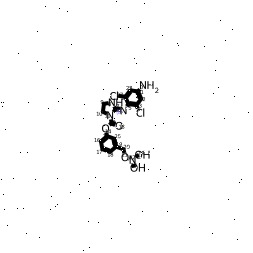 Nc1cc(Cl)c(/N=C2\NCCN2C(=O)Oc2cccc(CON(O)O)c2)c(Cl)c1